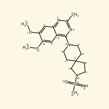 COc1cc2nc(C)nc(N3CCC4(CC3)CCN(S(C)(=N)=O)C4)c2cc1OC